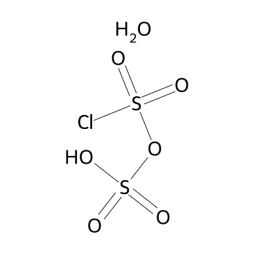 O.O=S(=O)(O)OS(=O)(=O)Cl